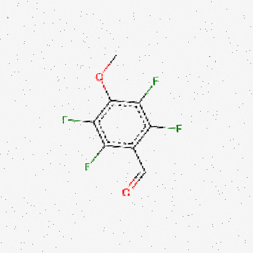 COc1c(F)c(F)c(C=O)c(F)c1F